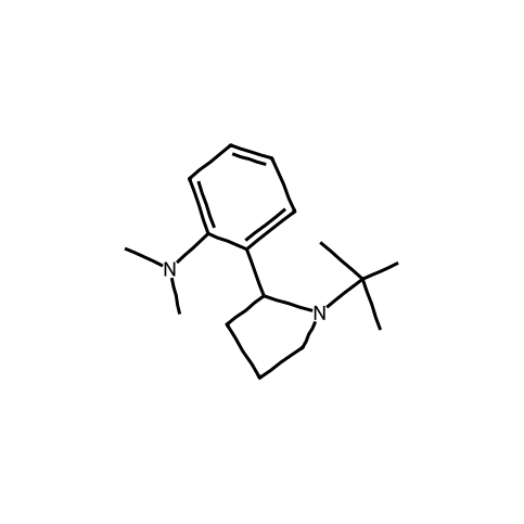 CN(C)c1ccccc1C1CCCN1C(C)(C)C